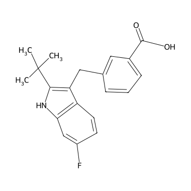 CC(C)(C)c1[nH]c2cc(F)ccc2c1Cc1cccc(C(=O)O)c1